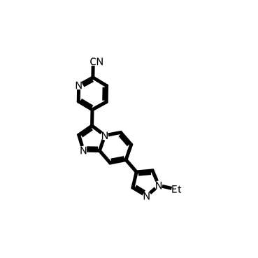 CCn1cc(-c2ccn3c(-c4ccc(C#N)nc4)cnc3c2)cn1